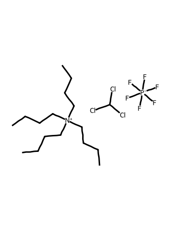 CCCC[N+](CCCC)(CCCC)CCCC.ClC(Cl)Cl.F[P-](F)(F)(F)(F)F